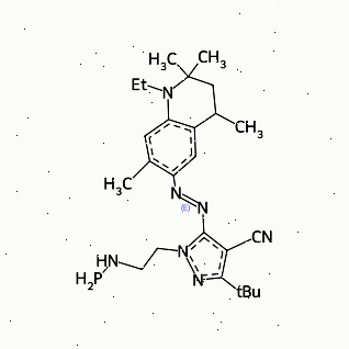 CCN1c2cc(C)c(/N=N/c3c(C#N)c(C(C)(C)C)nn3CCNP)cc2C(C)CC1(C)C